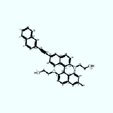 CC1=CC2=CC=C(OCCO)C(c3c(OCCO)ccc4cc(C#Cc5ccc6ccccc6c5)ccc34)C2C=C1